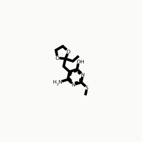 CCC1(Cc2c(N)nc(SC)nc2O)OCCO1